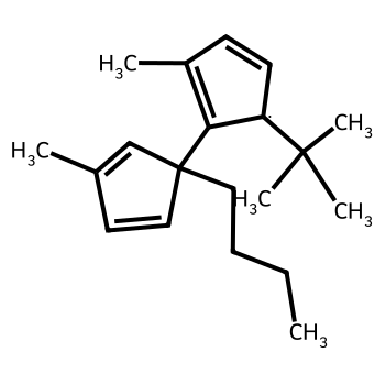 CCCCC1(C2=C(C)C=C[C]2C(C)(C)C)C=CC(C)=C1